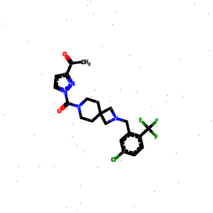 CC(=O)c1ccn(C(=O)N2CCC3(CC2)CN(Cc2cc(Cl)ccc2C(F)(F)F)C3)n1